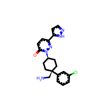 NC[C@]1(c2cccc(Cl)c2)CC[C@H](n2nc(-c3ccn[nH]3)ccc2=O)CC1